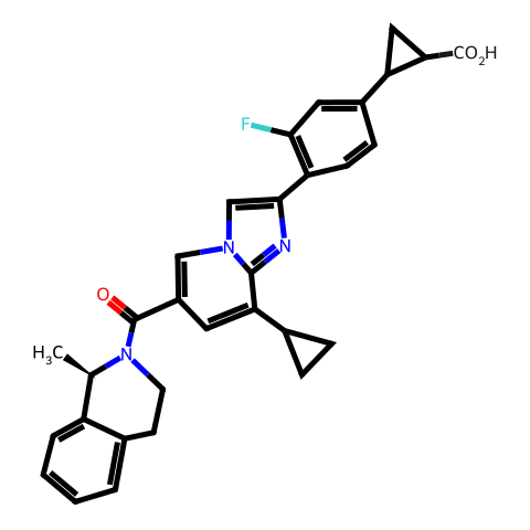 C[C@@H]1c2ccccc2CCN1C(=O)c1cc(C2CC2)c2nc(-c3ccc(C4CC4C(=O)O)cc3F)cn2c1